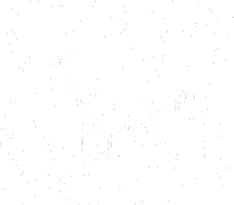 F[B-](F)(F)F.F[B-](F)(F)F.F[B-](F)(F)F.N.O=[N+]([O-])c1ccccc1.[KH]